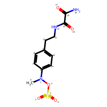 CN(O[SH](=O)=O)c1ccc(CCNC(=O)C(N)=O)cc1